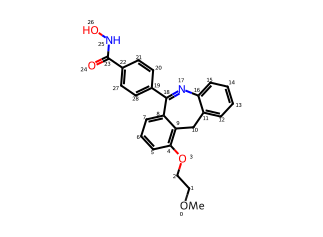 COCCOc1cccc2c1Cc1ccccc1N=C2c1ccc(C(=O)NO)cc1